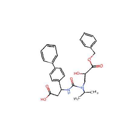 CC(C)N(CC(O)C(=O)OCc1ccccc1)C(=O)NC(CC(=O)O)c1ccc(-c2ccccc2)cc1